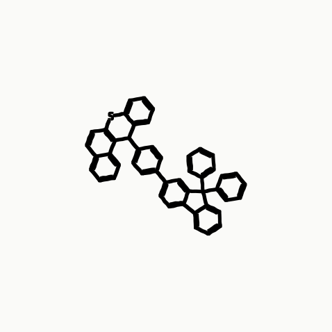 c1ccc(C2(c3ccccc3)c3ccccc3-c3ccc(-c4ccc(C5c6ccccc6Sc6ccc7ccccc7c65)cc4)cc32)cc1